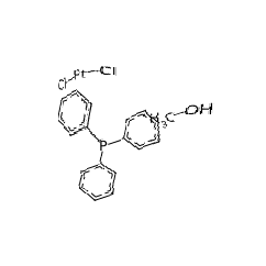 CO.[Cl][Pt][Cl].c1ccc(P(c2ccccc2)c2ccccc2)cc1